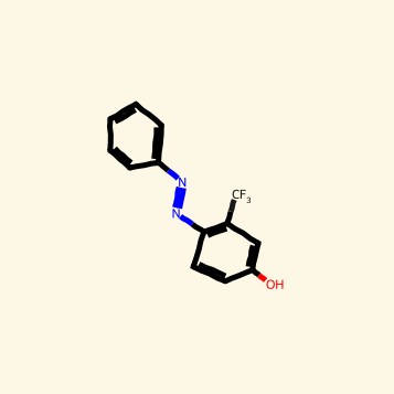 Oc1ccc(N=Nc2ccccc2)c(C(F)(F)F)c1